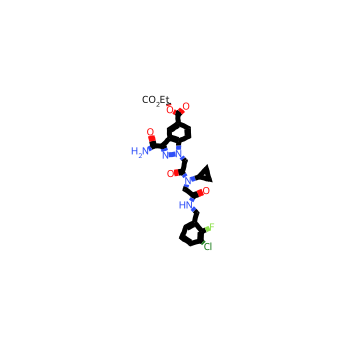 CCOC(=O)OC(=O)c1ccc2c(c1)c(C(N)=O)nn2CC(=O)N(CC(=O)NCc1cccc(Cl)c1F)C1CC1